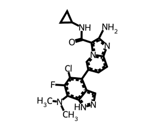 CN(C)c1c(F)c(Cl)c(-c2ccc3nc(N)c(C(=O)NC4CC4)n3c2)c2cn[nH]c12